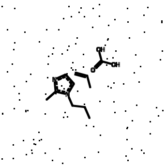 C=CC.CCCn1ccnc1C.O=C(O)O